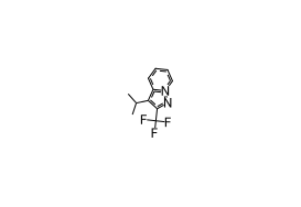 CC(C)c1c(C(F)(F)F)nn2ccccc12